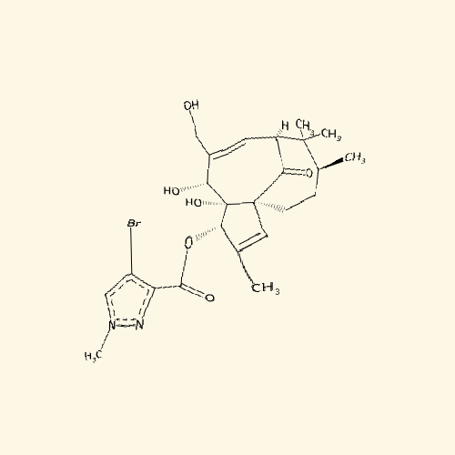 CC1=C[C@@]23CC[C@H](C)C(C)(C)[C@H](C=C(CO)[C@@H](O)[C@]2(O)[C@H]1OC(=O)c1nn(C)cc1Br)C3=O